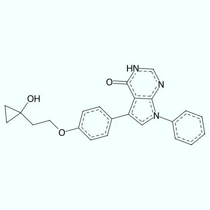 O=c1[nH]cnc2c1c(-c1ccc(OCCC3(O)CC3)cc1)cn2-c1ccccc1